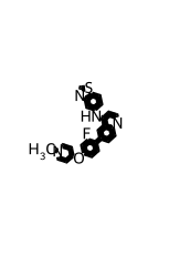 CN1CCC(Oc2ccc(-c3ccc4nccc(Nc5ccc6scnc6c5)c4c3)c(F)c2)CC1